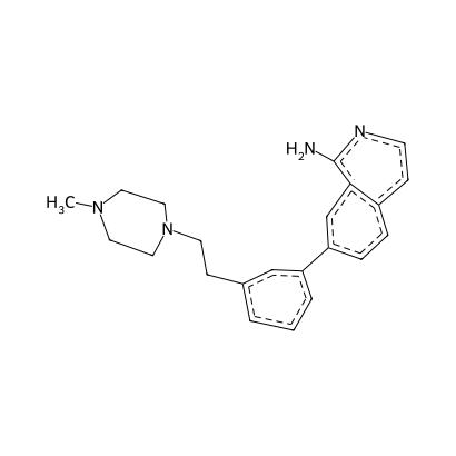 CN1CCN(CCc2cccc(-c3ccc4ccnc(N)c4c3)c2)CC1